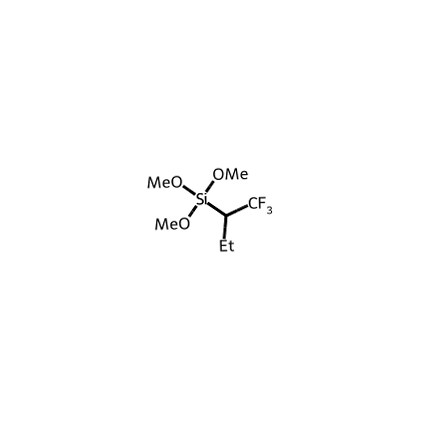 CCC(C(F)(F)F)[Si](OC)(OC)OC